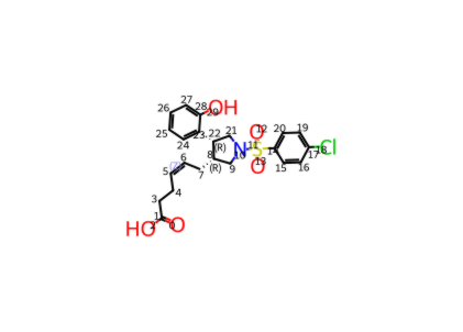 O=C(O)CC/C=C\C[C@H]1CN(S(=O)(=O)c2ccc(Cl)cc2)C[C@H]1c1ccccc1O